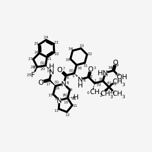 C[C@H](C(=O)N[C@H](C(=O)N1C[C@H]2CCCN2C[C@H]1C(=O)N[C@H]1c2ccccc2C[C@@H]1F)C1CCCCC1)C(NC(=O)O)C(C)(C)C